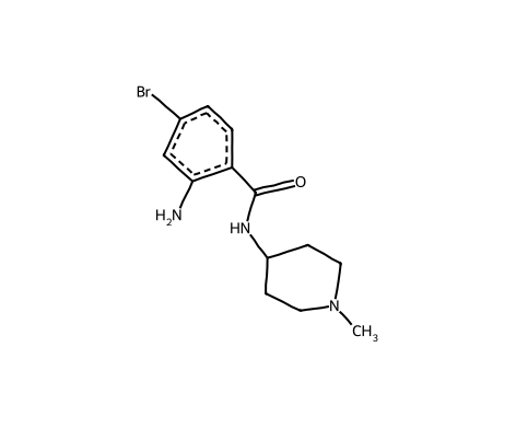 CN1CCC(NC(=O)c2ccc(Br)cc2N)CC1